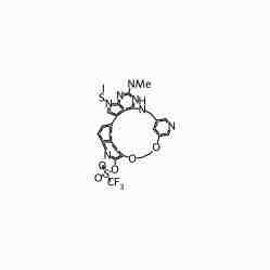 CNc1nc2c3c(cn(SI)c3n1)-c1ccc3nc(OS(=O)(=O)C(F)(F)F)c(cc3c1)OCCOc1cncc(c1)CN2